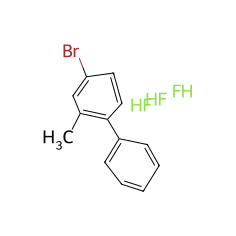 Cc1cc(Br)ccc1-c1ccccc1.F.F.F